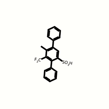 Cc1c(-c2ccccc2)cc(S(=O)(=O)O)c(-c2ccccc2)c1C(F)(F)F